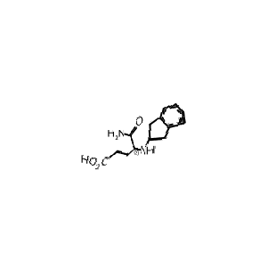 NC(=O)[C@H](CCC(=O)O)NC1Cc2ccccc2C1